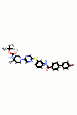 CC1(NC(=O)OC(C)(C)C)CCN(c2cnc(Sc3cccc(NC(=O)c4ccc(-c5ccc(Br)cc5)cc4)c3)cn2)CC1